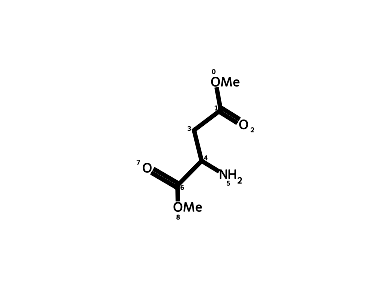 COC(=O)CC(N)C(=O)OC